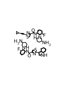 N[C@@H]1CCCN(c2c(F)cccc2NC(=O)c2csc(-c3c[nH]c4ccccc34)n2)C1.N[C@@H]1CCCN(c2c(F)cccc2NC(=O)c2csc(C#CC3CC3)n2)C1